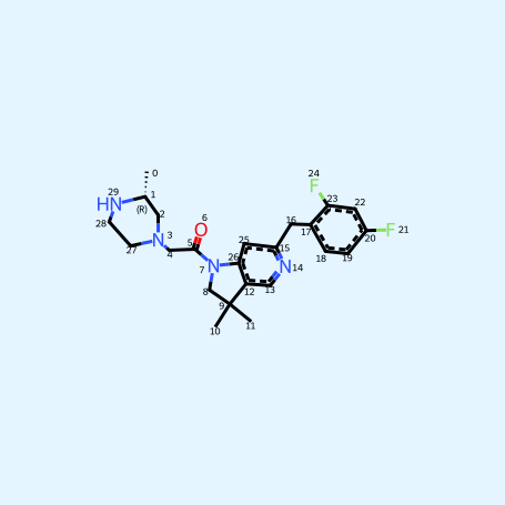 C[C@@H]1CN(CC(=O)N2CC(C)(C)c3cnc(Cc4ccc(F)cc4F)cc32)CCN1